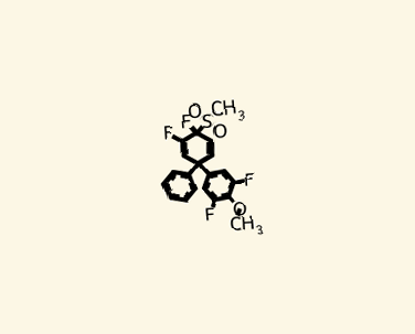 COc1c(F)cc(C2(c3ccccc3)C=CC(F)(S(C)(=O)=O)C(F)=C2)cc1F